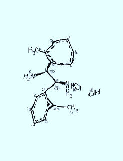 Cc1ccccc1[C@H](N)[C@@H](N)c1ccccc1C.Cl.Cl